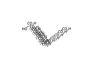 CC(=O)O.CC(=O)O.CC(=O)O.CC(=O)O.CC(=O)O.CC(=O)O.CC(=O)O.CC(=O)O.CC(=O)O.CC(=O)O.CC(=O)O.CC(=O)O.CC(=O)O.CC(=O)O.CC(=O)O.CC(=O)O.CC(=O)O.CC(=O)O.O=C(O)CCO